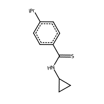 CC(C)c1ccc(C(=S)NC2CC2)cc1